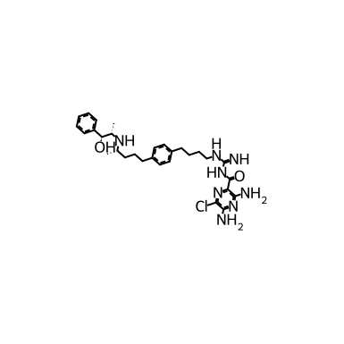 C[C@H](N[C@@H](C)CCCc1ccc(CCCCNC(=N)NC(=O)c2nc(Cl)c(N)nc2N)cc1)[C@H](O)c1ccccc1